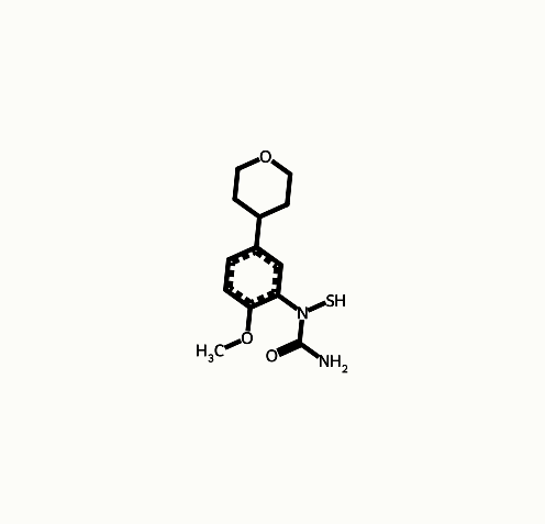 COc1ccc(C2CCOCC2)cc1N(S)C(N)=O